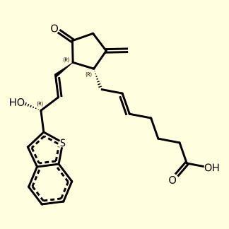 C=C1CC(=O)[C@H](C=C[C@@H](O)c2cc3ccccc3s2)[C@H]1CC=CCCCC(=O)O